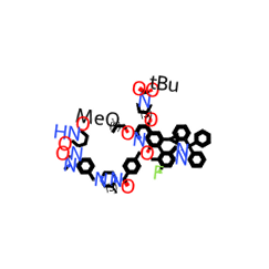 CO[C@@H](C)COc1cc(O[C@H]2CCN(C(=O)OC(C)(C)C)C2)c2cc(C3CC3)c(-c3c(C)c(F)cc4nn(C(c5ccccc5)(c5ccccc5)c5ccccc5)cc34)c(OCc3ccc(C(=O)N4CCN(Cc5ccc6c(c5)n(C)c(=O)n6C5CCC(=O)NC5=O)C[C@@H]4C)cc3)c2n1